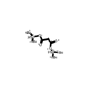 CCC[CH2][SnH]([CH2]CCC)[O]C(=O)CC(=O)[O][SnH]([CH2]CCC)[CH2]CCC